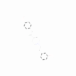 COc1ccc(CC(F)C2CCN(CCc3cccc(OC)c3)CC2)cc1